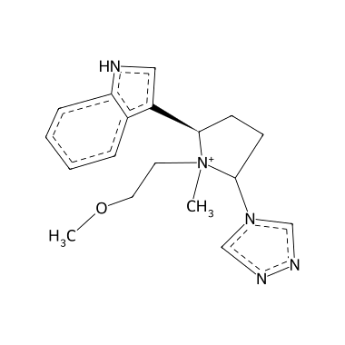 COCC[N+]1(C)C(n2cnnc2)CC[C@@H]1c1c[nH]c2ccccc12